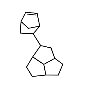 C1=CC2CC1CC2C1CC2CCC3CCC1C32